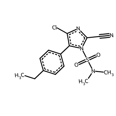 CCc1ccc(-c2c(Cl)nc(C#N)n2S(=O)(=O)N(C)C)cc1